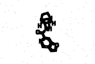 C[C@H]1[C@H](NC(=O)c2cc3occc3cn2)C2CCN1CC2